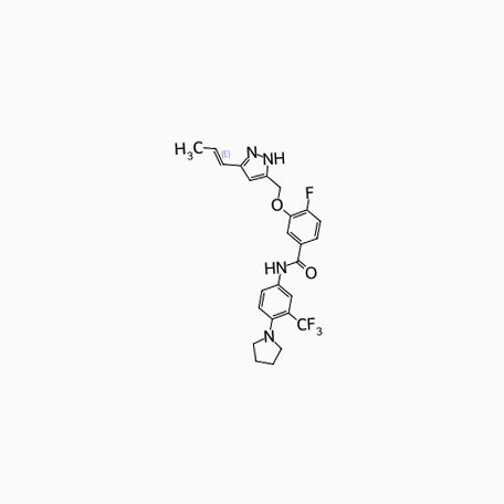 C/C=C/c1cc(COc2cc(C(=O)Nc3ccc(N4CCCC4)c(C(F)(F)F)c3)ccc2F)[nH]n1